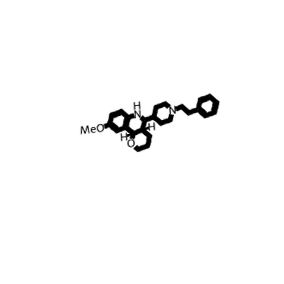 COc1ccc2c(c1)[C@H]1OCCC[C@H]1C(C1CCN(CCc3ccccc3)CC1)N2